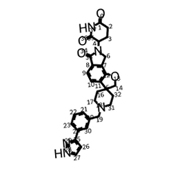 O=C1CCC(N2Cc3c(ccc4c3OCC43CCN(Cc4cccc(-c5cc[nH]n5)c4)CC3)C2=O)C(=O)N1